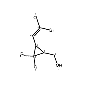 OCC1C(C=C(Cl)Cl)C1(Cl)Cl